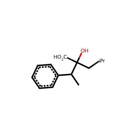 CC(C)CC(O)(C(=O)O)C(C)c1ccccc1